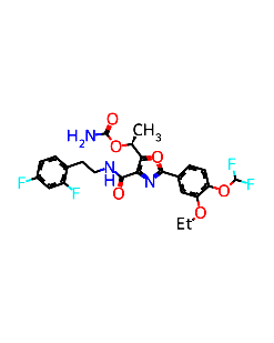 CCOc1cc(-c2nc(C(=O)NCCc3ccc(F)cc3F)c([C@H](C)OC(N)=O)o2)ccc1OC(F)F